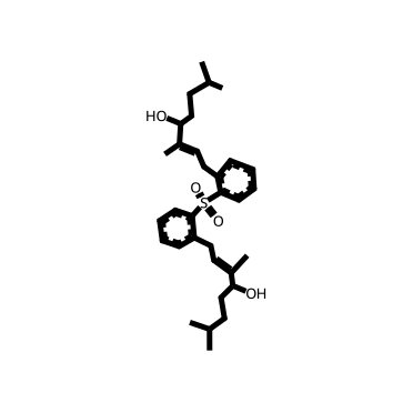 C/C(=C\Cc1ccccc1S(=O)(=O)c1ccccc1C/C=C(\C)C(O)CCC(C)C)C(O)CCC(C)C